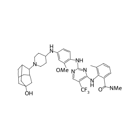 CNC(=O)c1cccc(C)c1Nc1nc(Nc2ccc(NC3CCN(C4C5CC6CC4CC(O)(C6)C5)CC3)cc2OC)ncc1C(F)(F)F